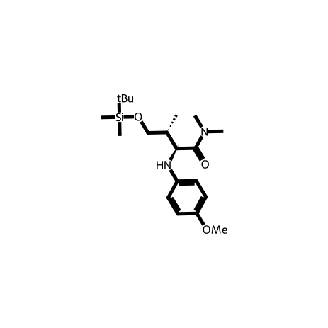 COc1ccc(N[C@H](C(=O)N(C)C)[C@@H](C)CO[Si](C)(C)C(C)(C)C)cc1